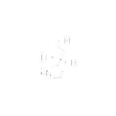 CCCC(C)(C)C1CCCN(C=O)C1